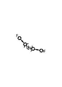 CC1=C(N2CCN(c3c(C)cc(C#Cc4ccc(F)cc4)cc3C)C2)[C@@H](C)CC(C#Cc2ccc(F)cc2)=C1